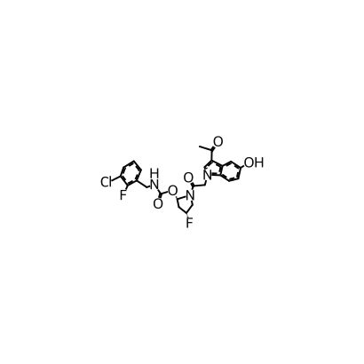 CC(=O)c1cn(CC(=O)N2C[C@H](F)C[C@@H]2OC(=O)NCc2cccc(Cl)c2F)c2ccc(O)cc12